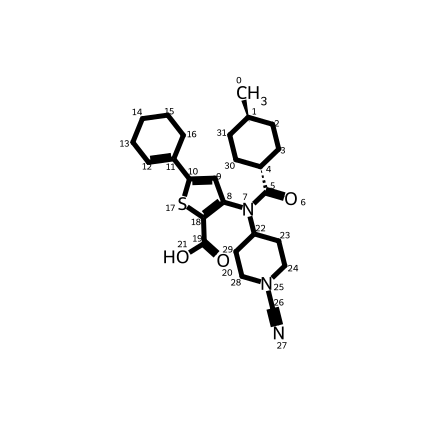 C[C@H]1CC[C@H](C(=O)N(c2cc(C3=CCCCC3)sc2C(=O)O)C2CCN(C#N)CC2)CC1